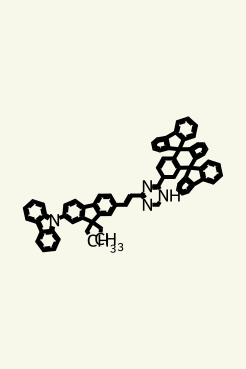 CCC1(CC)c2cc(/C=C/C3=NCNC(C4C=CC5=C(C4)C4(c6ccccc6-c6ccccc64)c4ccccc4C54c5ccccc5-c5ccccc54)=N3)ccc2-c2ccc(-n3c4ccccc4c4ccccc43)cc21